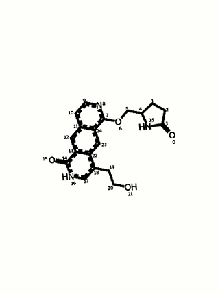 O=C1CCC(COc2nccc3cc4c(=O)[nH]cc(CCO)c4cc23)N1